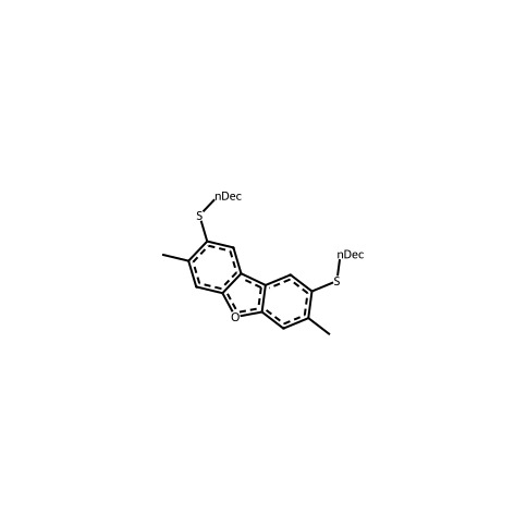 CCCCCCCCCCSc1cc2c(cc1C)oc1cc(C)c(SCCCCCCCCCC)cc12